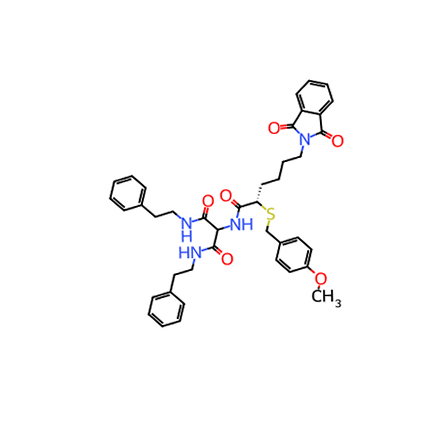 COc1ccc(CS[C@@H](CCCCN2C(=O)c3ccccc3C2=O)C(=O)NC(C(=O)NCCc2ccccc2)C(=O)NCCc2ccccc2)cc1